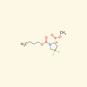 CCCCOC(=O)N1CC(F)(F)C[C@H]1C(=O)OC